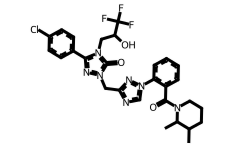 CC1CCCN(C(=O)c2ccccc2-n2cnc(Cn3nc(-c4ccc(Cl)cc4)n(CC(O)C(F)(F)F)c3=O)n2)C1C